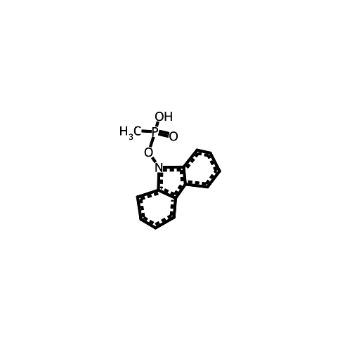 CP(=O)(O)On1c2ccccc2c2ccccc21